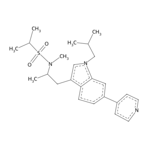 CC(C)Cn1cc(CC(C)N(C)S(=O)(=O)C(C)C)c2ccc(-c3ccncc3)cc21